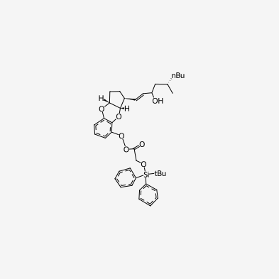 CCCC[C@H](C)CC(O)/C=C/[C@@H]1CC[C@H]2Oc3cccc(OOC(=O)CO[Si](c4ccccc4)(c4ccccc4)C(C)(C)C)c3O[C@@H]12